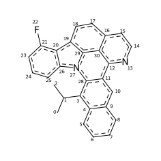 CC(C)c1c2ccccc2cc2c3nccc4ccc5c6c(F)cccc6n(c12)c5c43